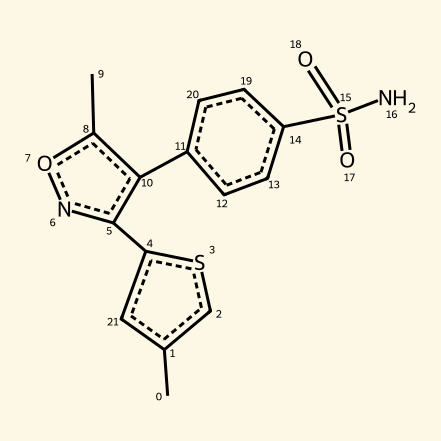 Cc1csc(-c2noc(C)c2-c2ccc(S(N)(=O)=O)cc2)c1